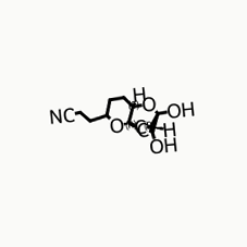 N#CCCC1CC[C@@H]2OC3(O)CC[C@]2(C[C@H]3O)O1